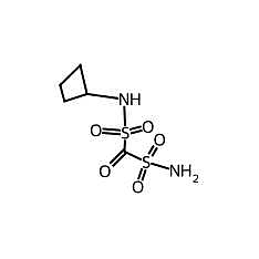 NS(=O)(=O)C(=O)S(=O)(=O)NC1CCC1